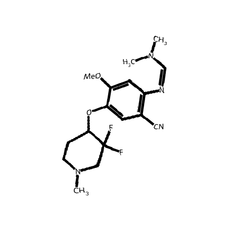 COc1cc(/N=C\N(C)C)c(C#N)cc1OC1CCN(C)CC1(F)F